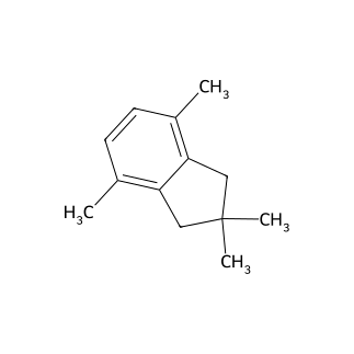 Cc1ccc(C)c2c1CC(C)(C)C2